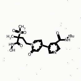 CC(C)(C)NC(=O)c1cncc(-c2ccn(CCC(C)(C(=O)NO)S(C)(=O)=O)c(=O)c2)c1